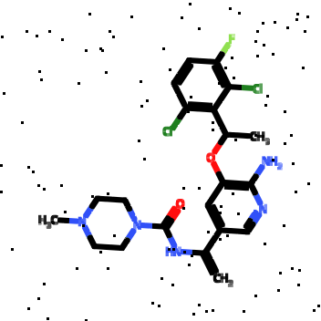 C=C(NC(=O)N1CCN(C)CC1)c1cnc(N)c(OC(C)c2c(Cl)ccc(F)c2Cl)c1